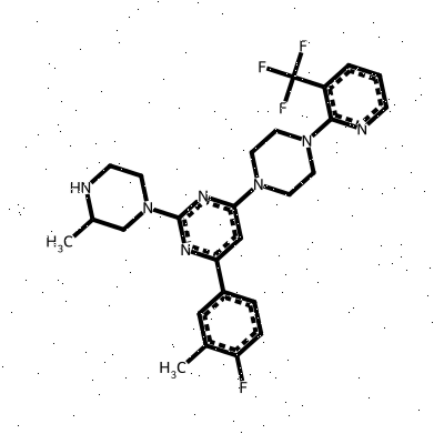 Cc1cc(-c2cc(N3CCN(c4ncccc4C(F)(F)F)CC3)nc(N3CCNC(C)C3)n2)ccc1F